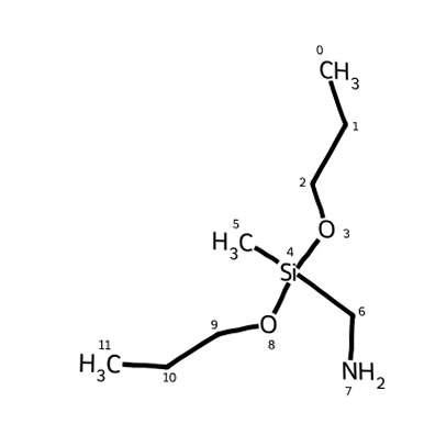 CCCO[Si](C)(CN)OCCC